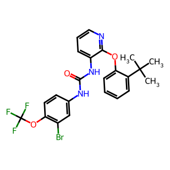 CC(C)(C)c1ccccc1Oc1ncccc1NC(=O)Nc1ccc(OC(F)(F)F)c(Br)c1